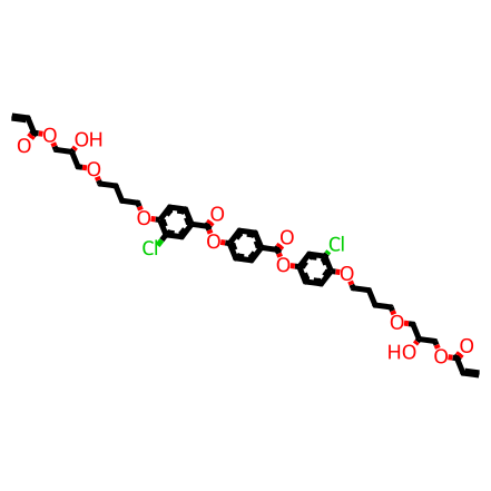 C=CC(=O)OCC(O)COCCCCOc1ccc(OC(=O)c2ccc(OC(=O)c3ccc(OCCCCOCC(O)COC(=O)C=C)c(Cl)c3)cc2)cc1Cl